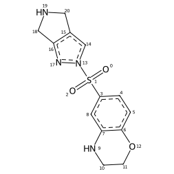 O=S(=O)(c1ccc2c(c1)NCCO2)n1cc2c(n1)CNC2